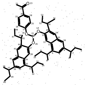 CCC(C)c1cc(C(C)CC)c2cc(OP(Oc3ccc(C(C)=O)cc3)Oc3cc4c(C(C)CC)cc(C(C)CC)cc4cc3C(C)CC)c(C(C)CC)cc2c1